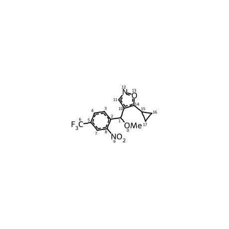 COC(c1ccc(C(F)(F)F)cc1[N+](=O)[O-])c1cnoc1C1CC1